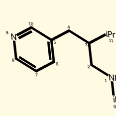 CC(C)NCC(Cc1cccnc1)C(C)C